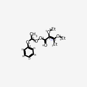 CCO/C(CC)=C(\OCC)C(=O)OOC(C)Oc1ccccc1